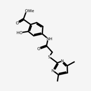 COC(=O)c1ccc(NC(=O)CSc2nc(C)cc(C)n2)cc1O